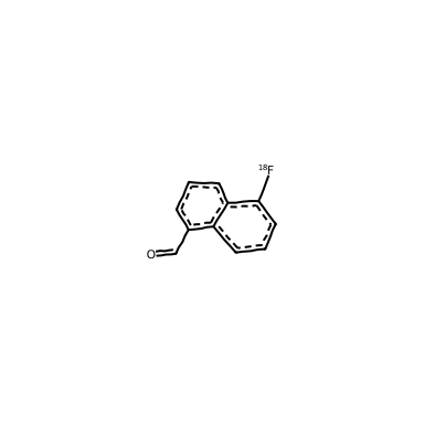 O=Cc1cccc2c([18F])cccc12